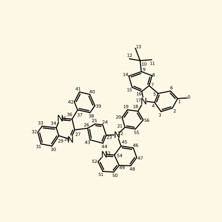 Cc1ccc2c(c1)c1cc(C(C)(C)C)ccc1n2-c1ccc(N(c2ccc(-c3nc4ccccc4nc3-c3ccccc3)cc2)c2cccc3cccnc23)cc1